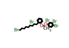 CC(Oc1ccccc1CC(Br)CCCCCCCBr)Oc1ccc(Br)c(Br)c1Br